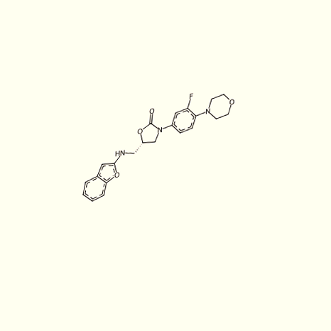 O=C1O[C@@H](CNc2cc3ccccc3o2)CN1c1ccc(N2CCOCC2)c(F)c1